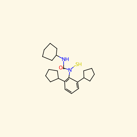 O=C(NC1CCCCC1)N(S)c1c(C2CCCC2)cccc1C1CCCC1